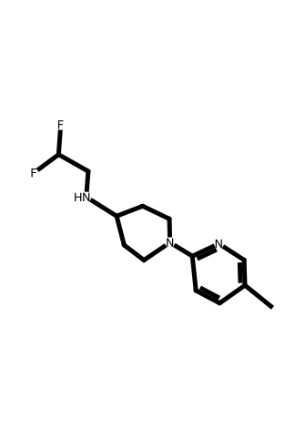 Cc1ccc(N2CCC(NCC(F)F)CC2)nc1